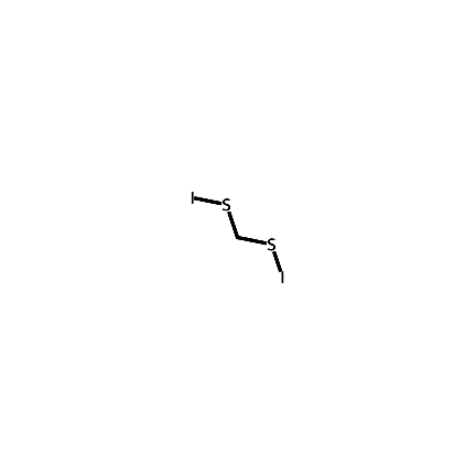 ISCSI